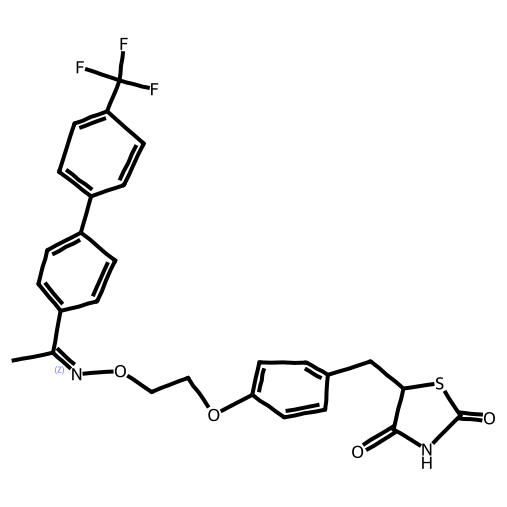 C/C(=N/OCCOc1ccc(CC2SC(=O)NC2=O)cc1)c1ccc(-c2ccc(C(F)(F)F)cc2)cc1